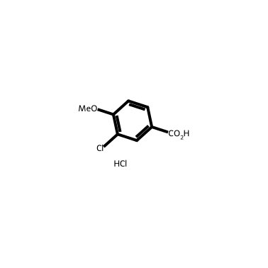 COc1ccc(C(=O)O)cc1Cl.Cl